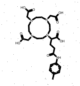 Cc1ccc(NC(=O)CCC(C(=O)O)N2CCN(CC(=O)O)CCN(CC(=O)O)CCN(CC(=O)O)CC2)cc1